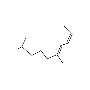 C/C=C\C=C(/C)CCCC(C)C